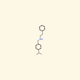 CC(C)c1ccc(CNCCc2ccccc2)cc1